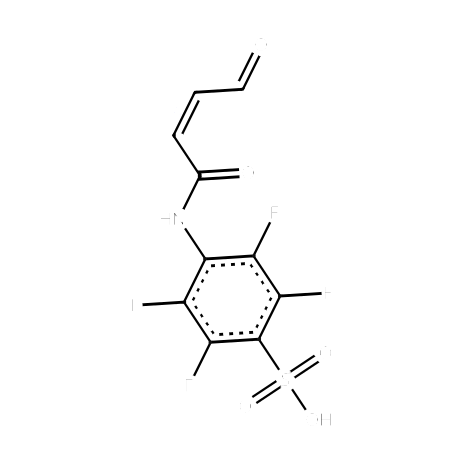 O=C/C=C\C(=O)Nc1c(F)c(F)c(S(=O)(=O)O)c(F)c1F